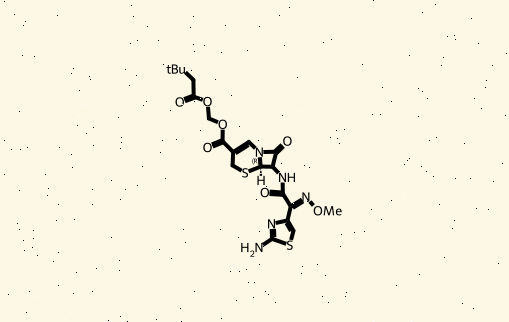 CON=C(C(=O)NC1C(=O)N2C=C(C(=O)OCOC(=O)CC(C)(C)C)CS[C@H]12)c1csc(N)n1